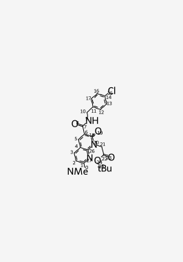 CNc1ccc2cc(C(=O)NCc3ccc(Cl)cc3)c(=O)n(CC(=O)OC(C)(C)C)c2n1